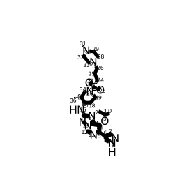 CC(C)Oc1c(-c2cn[nH]c2)ncn2nc(N[C@H]3CCN(S(=O)(=O)CCCN4CCN(C)CC4)C[C@H]3C)nc12